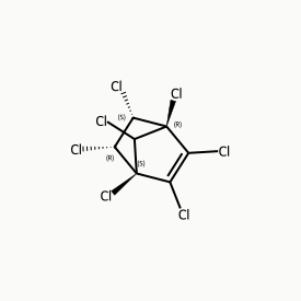 ClC1=C(Cl)[C@]2(Cl)C(Cl)[C@@]1(Cl)[C@H](Cl)[C@@H]2Cl